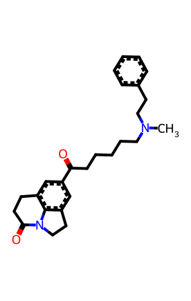 CN(CCCCCC(=O)c1cc2c3c(c1)CCN3C(=O)CC2)CCc1ccccc1